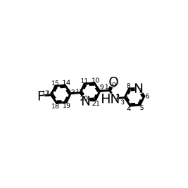 O=C(Nc1cccnc1)c1ccc(-c2ccc(F)cc2)nc1